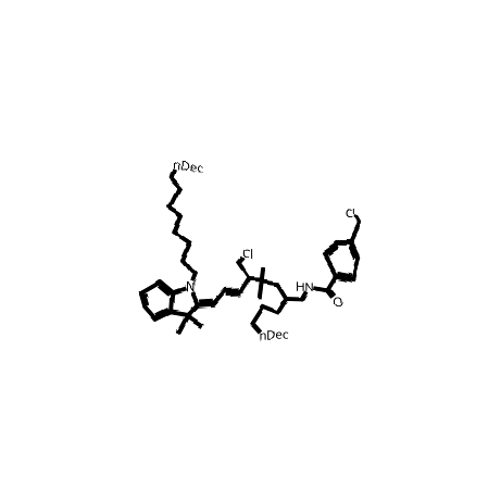 CCCCCCCCCCCCCCCCCCN1C(=CC=CC(CCl)C(C)(C)CC(CCCCCCCCCCCCC)CNC(=O)c2ccc(CCl)cc2)C(C)(C)c2ccccc21